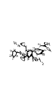 CCCc1nc(N2CCC[C@@H](CC(=O)O)C2)c(N)cc1C(=O)NC1CCCCC1